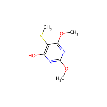 COc1nc(O)c(SC)c(OC)n1